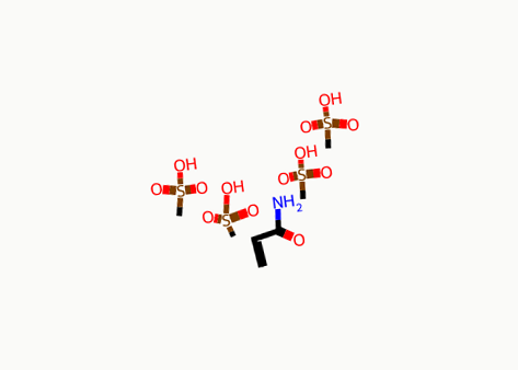 C=CC(N)=O.CS(=O)(=O)O.CS(=O)(=O)O.CS(=O)(=O)O.CS(=O)(=O)O